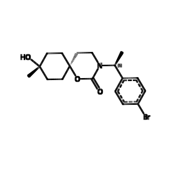 C[C@@H](c1ccc(Br)cc1)N1CC[C@]2(CC[C@@](C)(O)CC2)OC1=O